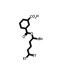 CCCCC(CCCC(CC)CC)OC(=O)C1CCCC(C(=O)O)C1